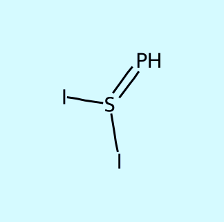 P=S(I)I